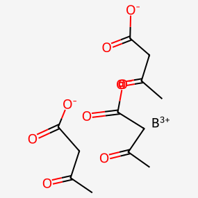 CC(=O)CC(=O)[O-].CC(=O)CC(=O)[O-].CC(=O)CC(=O)[O-].[B+3]